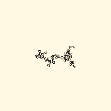 CC(=O)N[C@@H](CCCCN)C(=O)N[C@H](C(=O)N[C@@H](CCCNC(N)=O)C(=O)Nc1ccc(COC(=O)N(C)CCN(C)C(=O)Oc2cc3c(c4ccccc24)[C@H](CCl)CN3C(=O)C23C4C5C2C2C3C4C52C(=O)N2C[C@@H](CCl)c3c2cc(OP(=O)(O)O)c2ccccc32)cc1)C(C)C